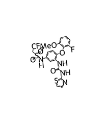 COc1cccc(F)c1Oc1ccc(NS(=O)(=O)CC(F)(F)F)cc1NC(=O)Nc1nccs1